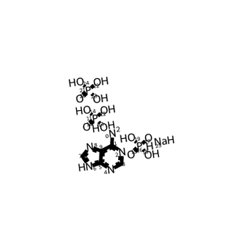 Nc1ncnc2[nH]cnc12.O=P(O)(O)O.O=P(O)(O)O.O=P(O)(O)O.[NaH]